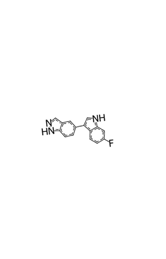 Fc1ccc2c(-c3ccc4[nH]ncc4c3)c[nH]c2c1